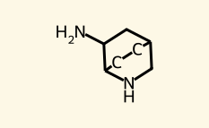 NC1CC2CCC1NC2